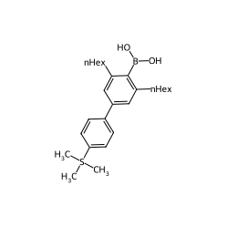 CCCCCCc1cc(-c2ccc(S(C)(C)C)cc2)cc(CCCCCC)c1B(O)O